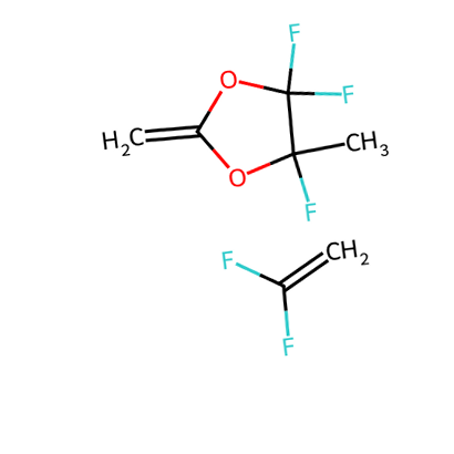 C=C(F)F.C=C1OC(C)(F)C(F)(F)O1